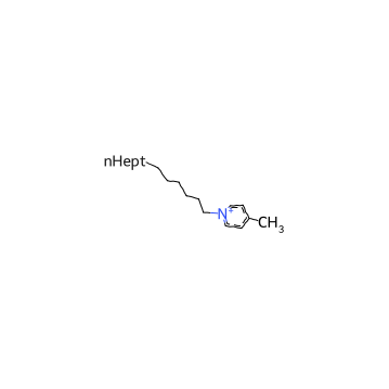 CCCCCCCCCCCCC[n+]1ccc(C)cc1